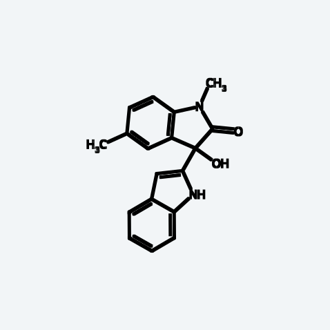 Cc1ccc2c(c1)C(O)(c1cc3ccccc3[nH]1)C(=O)N2C